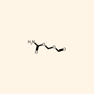 NC(=O)OCOC=O